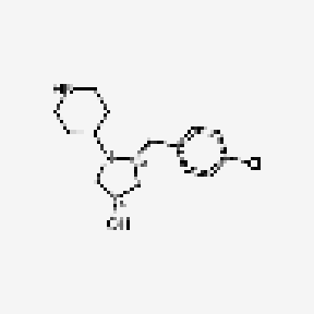 O[C@H]1C[C@H](Cc2ccc(Cl)cc2)N(C2CCNCC2)C1